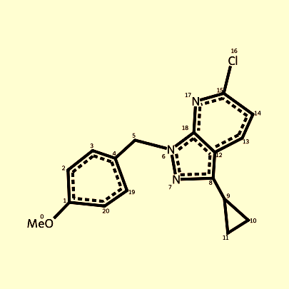 COc1ccc(Cn2nc(C3CC3)c3ccc(Cl)nc32)cc1